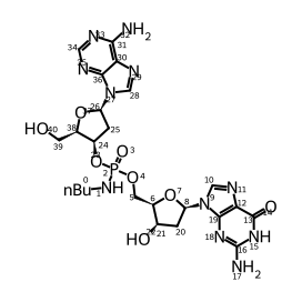 CCCCNP(=O)(OC[C@H]1O[C@@H](n2cnc3c(=O)[nH]c(N)nc32)C[C@H]1O)O[C@@H]1C[C@H](n2cnc3c(N)ncnc32)O[C@@H]1CO